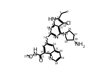 CCc1[nH]c2nc(Sc3cc(C(=O)NOC)c4ncccc4c3)nc(N3CC[C@H](N)C3)c2c1Cl